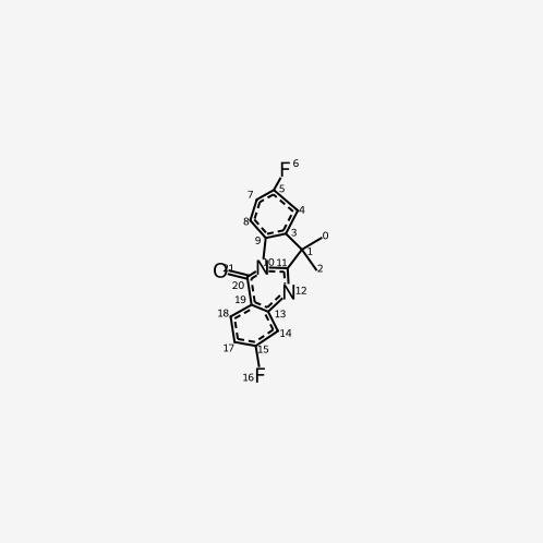 CC1(C)c2cc(F)ccc2-n2c1nc1cc(F)ccc1c2=O